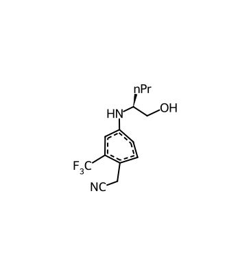 CCC[C@@H](CO)Nc1ccc(CC#N)c(C(F)(F)F)c1